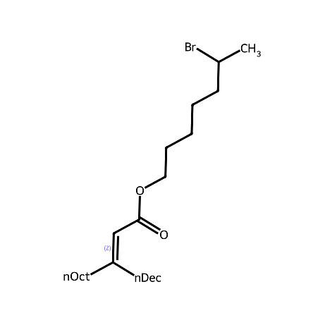 CCCCCCCCCC/C(=C\C(=O)OCCCCCC(C)Br)CCCCCCCC